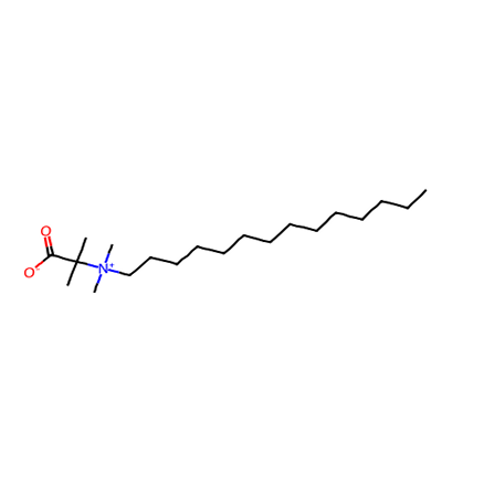 CCCCCCCCCCCCCC[N+](C)(C)C(C)(C)C(=O)[O-]